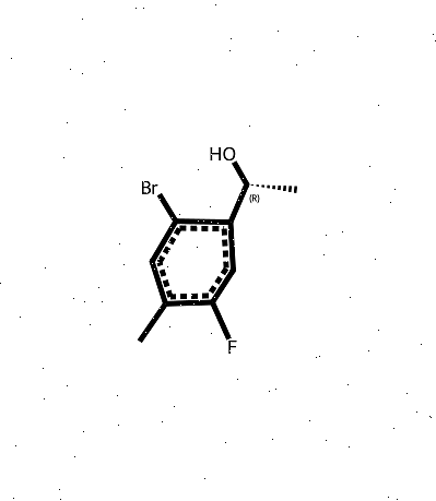 Cc1cc(Br)c([C@@H](C)O)cc1F